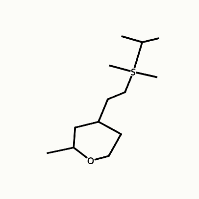 CC1CC(CCS(C)(C)C(C)C)CCO1